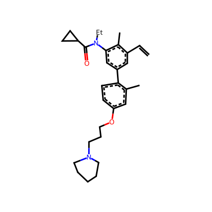 C=Cc1cc(-c2ccc(OCCCN3CCCCC3)cc2C)cc(N(CC)C(=O)C2CC2)c1C